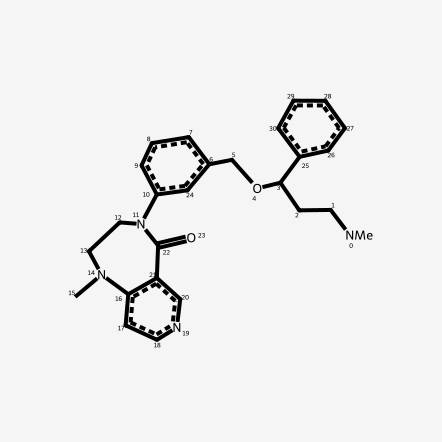 CNCCC(OCc1cccc(N2CCN(C)c3ccncc3C2=O)c1)c1ccccc1